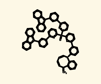 C=C1/C=C\C=CN(c2cccc(-c3cccc(P(=O)(c4cccc(-c5cccc(-n6c7ccccc7c7ccccc76)c5)n4)c4cccc(-c5cccc(-n6c7ccccc7c7ccccc76)c5)n4)n3)c2)c2ccccc21